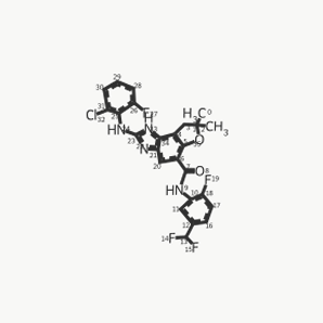 CC1(C)Cc2c(c(C(=O)Nc3cc(C(F)F)ccc3F)cc3nc(Nc4c(F)cccc4Cl)[nH]c23)O1